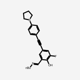 CCCCN=Cc1cc(C#Cc2ccc(N3CCCC3)cc2)cc(F)c1O